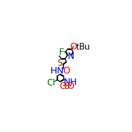 Cc1sc(C(=O)Nc2cc(Cl)cc(NS(C)(=O)=O)c2)cc1-c1ncc(OC(C)(C)C)cc1F